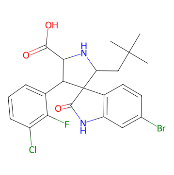 CC(C)(C)CC1NC(C(=O)O)C(c2cccc(Cl)c2F)C12C(=O)Nc1cc(Br)ccc12